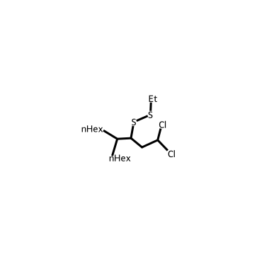 CCCCCCC(CCCCCC)C(CC(Cl)Cl)SSCC